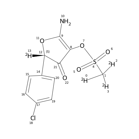 [2H]C([2H])([2H])S(=O)(=O)OC1=C(N)O[C@@]([2H])(c2ccc(Cl)cc2)C1=O